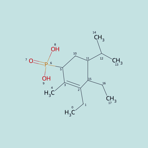 CCC1=C(C)C(P(=O)(O)O)CC(C(C)C)C1CC